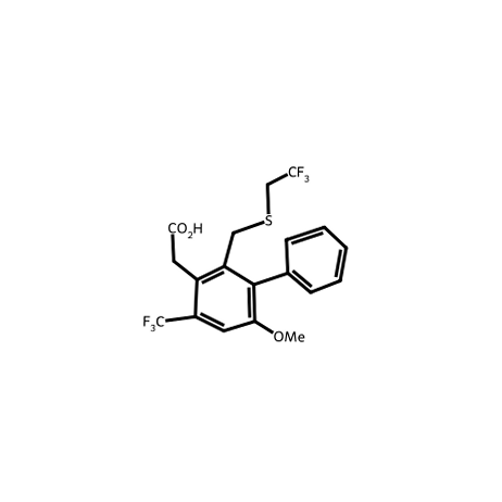 COc1cc(C(F)(F)F)c(CC(=O)O)c(CSCC(F)(F)F)c1-c1ccccc1